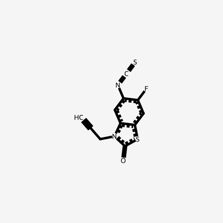 C#CCn1c(=O)sc2cc(F)c(N=C=S)cc21